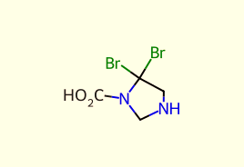 O=C(O)N1CNCC1(Br)Br